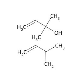 C=CC(=C)C.C=CC(C)(C)O